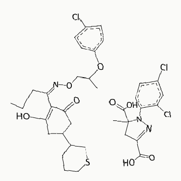 CC1(C(=O)O)CC(C(=O)O)=NN1c1ccc(Cl)cc1Cl.CCCC(=NOCC(C)Oc1ccc(Cl)cc1)C1=C(O)CC(C2CCCSC2)CC1=O